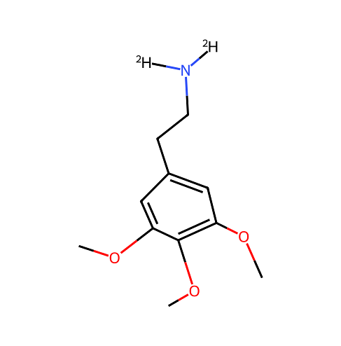 [2H]N([2H])CCc1cc(OC)c(OC)c(OC)c1